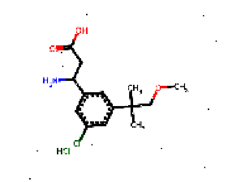 COCC(C)(C)c1cc(Cl)cc(C(N)CC(=O)O)c1.Cl